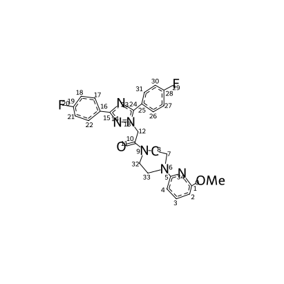 COc1cccc(N2CCN(C(=O)Cn3nc(-c4ccc(F)cc4)nc3-c3ccc(F)cc3)CC2)n1